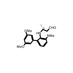 CNc1cccc(-c2cc(OC)cc(OC)c2)c1N[C@H](C)CC=O